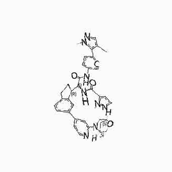 Cc1cnn(C)c1-c1ccc(NC(=O)[C@@H](NC(=O)c2ccnn2C)[C@@H]2CCc3ccc(-c4ccnc(N5C[C@@H]6C[C@H]5CO6)c4)cc32)cc1